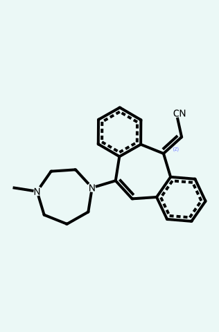 CN1CCCN(C2=Cc3ccccc3/C(=C/C#N)c3ccccc32)CC1